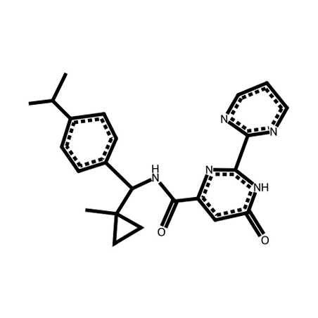 CC(C)c1ccc(C(NC(=O)c2cc(=O)[nH]c(-c3ncccn3)n2)C2(C)CC2)cc1